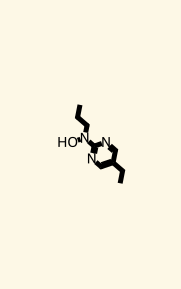 CCCN(O)c1ncc(CC)cn1